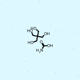 NC(=O)O.OCC(CO)(CO)CO